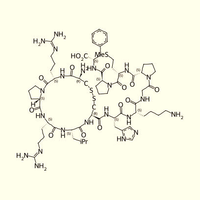 CSCC[C@H](NC(=O)[C@@H]1CCCN1C(=O)CNC(=O)[C@H](CCCCN)NC(=O)[C@H](Cc1cnc[nH]1)NC(=O)[C@@H]1CSSC[C@H](N)C(=O)N[C@@H](CCCN=C(N)N)C(=O)N2CCC[C@H]2C(=O)N[C@@H](CCCN=C(N)N)C(=O)N[C@@H](CC(C)C)C(=O)N1)C(=O)N1CCC[C@H]1C(=O)N[C@@H](Cc1ccccc1)C(=O)O